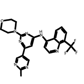 Cc1ncc(-c2cc(Nc3ccnc4c(C(F)(F)F)cccc34)nc(N3CCOCC3)n2)cn1